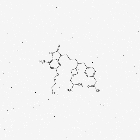 CCCCOc1nc(N)c2[nH]c(=O)n(CCCN(Cc3ccc(CC(=O)O)cc3)C3CN(CC(C)C)C3)c2n1